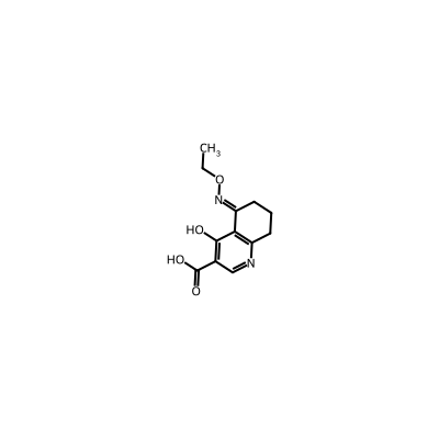 CCON=C1CCCc2ncc(C(=O)O)c(O)c21